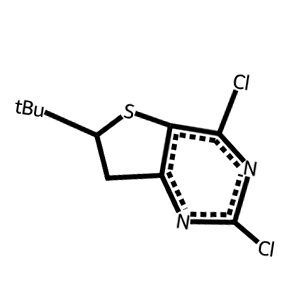 CC(C)(C)C1Cc2nc(Cl)nc(Cl)c2S1